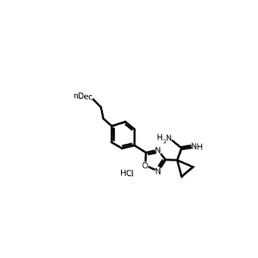 CCCCCCCCCCCCc1ccc(-c2nc(C3(C(=N)N)CC3)no2)cc1.Cl